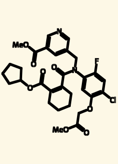 COC(=O)COc1cc(N(Cc2cncc(C(=O)OC)c2)C(=O)C2=C(C(=O)OC3CCCC3)CCCC2)c(F)cc1Cl